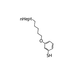 CCCCCCCCCCCCOc1cccc(S)c1